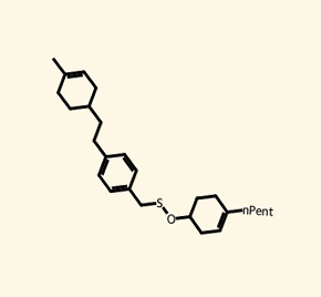 CCCCCC1=CCC(OSCc2ccc(CCC3CC=C(C)CC3)cc2)CC1